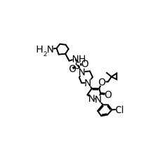 CC1(COc2c(N3CCN(S(=O)(=O)NCC4CCCC(N)C4)CC3)cnn(-c3cccc(Cl)c3)c2=O)CC1